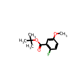 COc1ccc(F)c(C(=O)OC(C)(C)C)c1